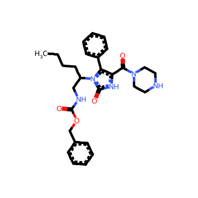 CCCCC(CNC(=O)OCc1ccccc1)n1c(-c2ccccc2)c(C(=O)N2CCNCC2)[nH]c1=O